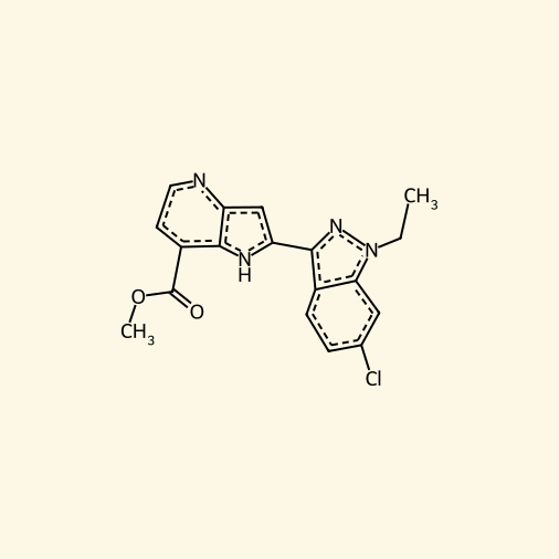 CCn1nc(-c2cc3nccc(C(=O)OC)c3[nH]2)c2ccc(Cl)cc21